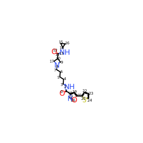 O=C(NCCCCCN1CC(C(=O)NC2CC2)C1)c1cc(-c2cccs2)on1